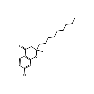 CCCCCCCCCC1(C)CC(=O)c2ccc(O)cc2O1